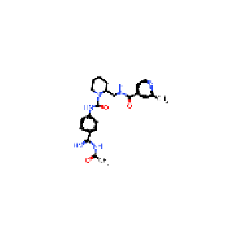 Cc1cc(C(=O)NCC2CCCCN2C(=O)Nc2ccc(C(=N)NC(=O)C(F)(F)F)cc2)ccn1